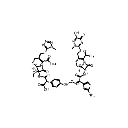 CO/N=C(\C(=O)N[C@@H]1C(=O)N2C(C(=O)O)=C(CSc3nc(=O)c(O)nn3C)CS[C@H]12)c1csc(N)n1.CO[C@@]1(NC(=O)C(C(=O)O)c2ccc(O)cc2)C(=O)N2C(C(=O)O)=C(CSc3nnnn3C)CO[C@@H]21